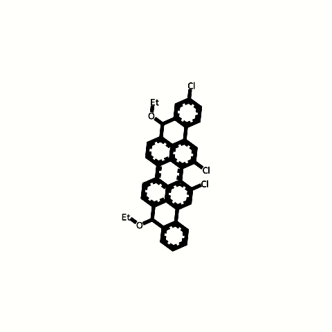 CCOC1c2ccccc2-c2cc(Cl)c3c4c(Cl)cc5c6c(ccc(c7ccc1c2c73)c64)C(OCC)c1cc(Cl)ccc1-5